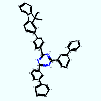 CC1(C)c2ccccc2-c2ccc(-c3ccc(-c4nc(-c5cccc(-c6ccccc6)c5)nc(-c5cccc(-c6ccccc6)c5)n4)cc3)cc21